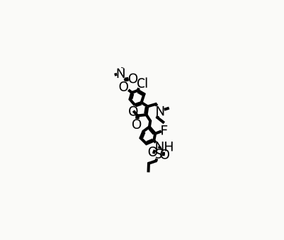 CCCS(=O)(=O)Nc1cccc(Cc2c(CN(C)CC)c3cc(Cl)c(OC(=O)N(C)C)cc3oc2=O)c1F